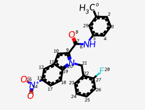 Cc1cccc(NC(=O)c2cc3cc([N+](=O)[O-])ccc3n2Cc2ccccc2F)c1